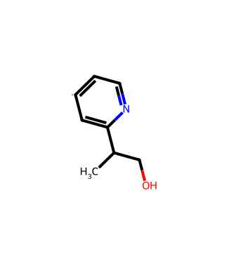 CC(CO)c1c[c]ccn1